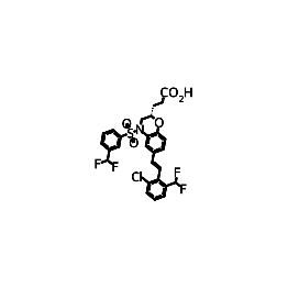 O=C(O)CC[C@H]1CN(S(=O)(=O)c2cccc(C(F)F)c2)c2cc(/C=C/c3c(Cl)cccc3C(F)F)ccc2O1